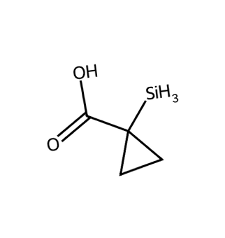 O=C(O)C1([SiH3])CC1